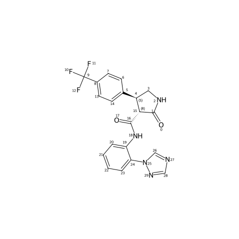 O=C1NC[C@H](c2ccc(C(F)(F)F)cc2)[C@H]1C(=O)Nc1ccccc1-n1cncn1